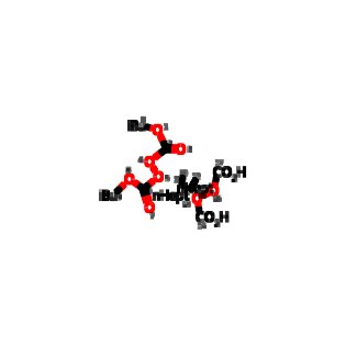 CCC(C)OC(=O)OOC(=O)OC(C)CC.CCCCCCCC.CCCCCCCC.O=C(O)OOC(=O)O